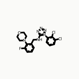 Fc1cccc(CNc2nnnn2-c2cccc(Cl)c2Cl)c1N1CCOCC1